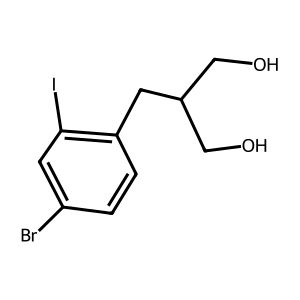 OCC(CO)Cc1ccc(Br)cc1I